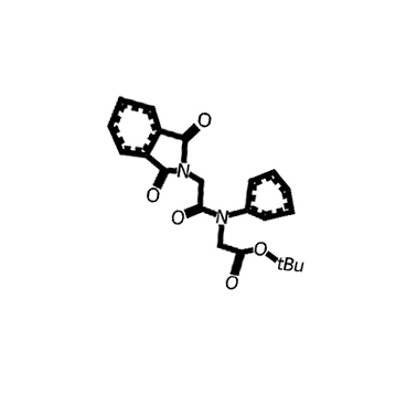 CC(C)(C)OC(=O)CN(C(=O)CN1C(=O)c2ccccc2C1=O)c1ccccc1